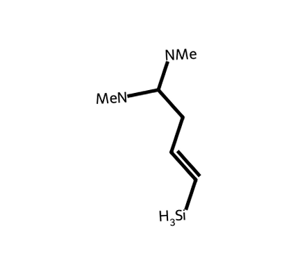 CNC(CC=C[SiH3])NC